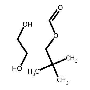 CC(C)(C)COC=O.OCCO